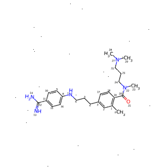 Cc1cc(CCCNc2ccc(C(=N)N)cc2)ccc1C(=O)N(C)CCCN(C)C